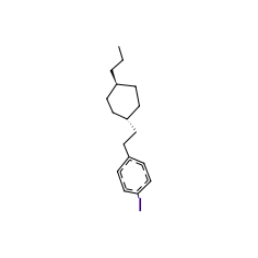 CCC[C@H]1CC[C@H](CCc2ccc(I)cc2)CC1